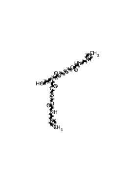 CN1CCN(CCCNCCC(=O)OCCSSCCOC(=O)CCN(CCCCO)CCC(=O)OCCSSCCOC(=O)CCNCCCN2CCN(C)CC2)CC1